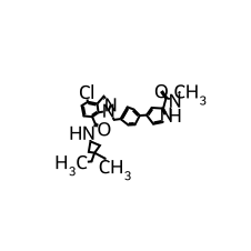 CCC1(CC)CC(NC(=O)c2ccc(Cl)c3cnn(Cc4ccc(-c5ccnc(C(=O)NC)c5)cc4)c23)C1